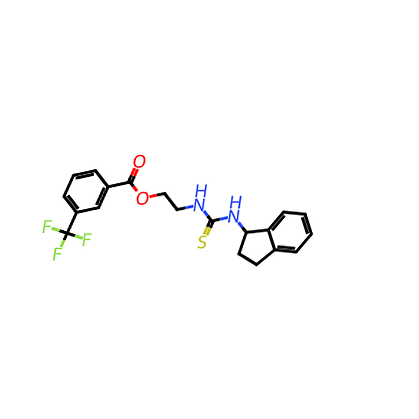 O=C(OCCNC(=S)NC1CCc2ccccc21)c1cccc(C(F)(F)F)c1